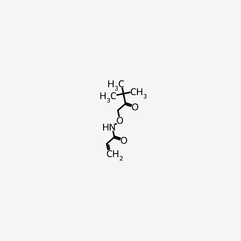 C=CC(=O)NOCC(=O)C(C)(C)C